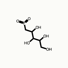 O=P(=O)CC(O)C(O)C(O)CO